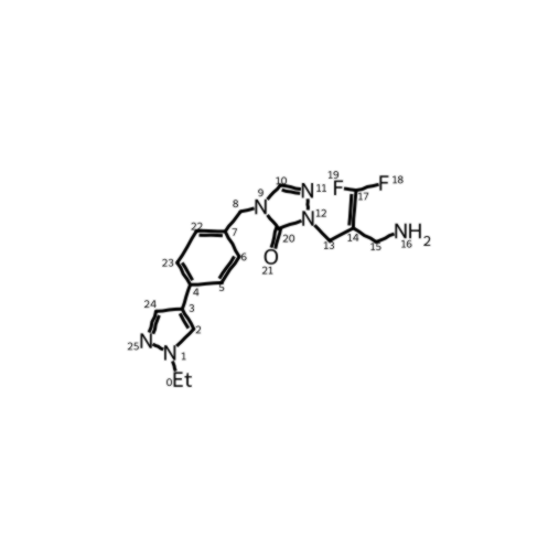 CCn1cc(-c2ccc(Cn3cnn(CC(CN)=C(F)F)c3=O)cc2)cn1